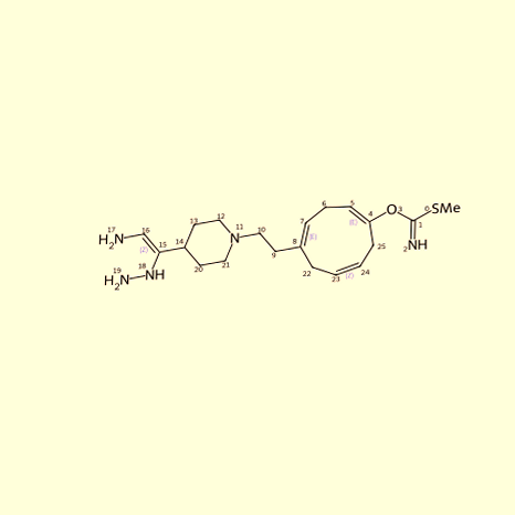 CSC(=N)O/C1=C/C/C=C(/CCN2CCC(/C(=C/N)NN)CC2)C/C=C\C1